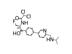 CC(C)NCc1ccc(-c2ccc([C@@H](O)[C@@H](CF)NC(=O)C(Cl)Cl)cc2)cn1